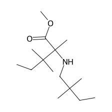 CCC(C)(C)CNC(C)(C(=O)OC)C(C)(C)CC